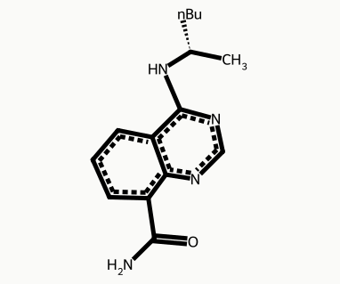 CCCC[C@H](C)Nc1ncnc2c(C(N)=O)cccc12